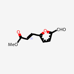 COC(=O)/C=C/c1ccc(C=O)o1